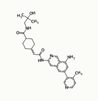 Cc1ccncc1-c1cc(N)c2cnc(NC(=O)C=C3CCC(C(=O)NCC(C)(C)O)CC3)cc2c1